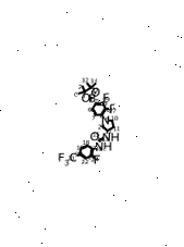 CC1(C)OB(c2ccc(N3CC[C@@H](NC(=O)Nc4ccc(C(F)(F)F)cc4F)C3)c(F)c2F)OC1(C)C